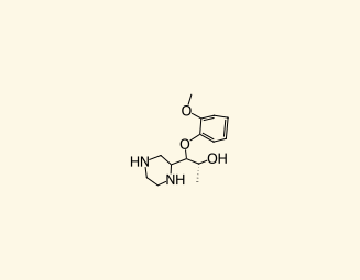 COc1ccccc1OC(C1CNCCN1)[C@@H](C)O